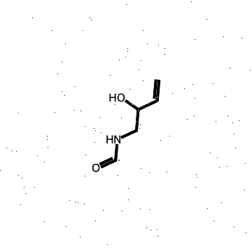 C=CC(O)CN[C]=O